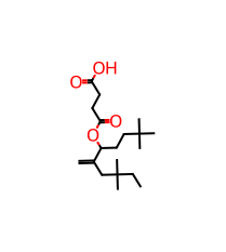 C=C(CC(C)(C)CC)C(CCC(C)(C)C)OC(=O)CCC(=O)O